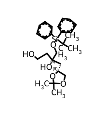 CC1(C)OC[C@@H](C[C@@](O)(CCO)CO[Si](c2ccccc2)(c2ccccc2)C(C)(C)C)O1